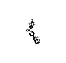 O=C1N[C@]2(CO1)C[C@H](C(=O)N1CCC(c3cc4cccnc4[nH]3)CC1)C2